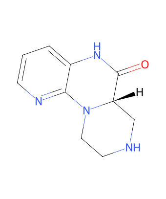 O=C1Nc2cccnc2N2CCNC[C@@H]12